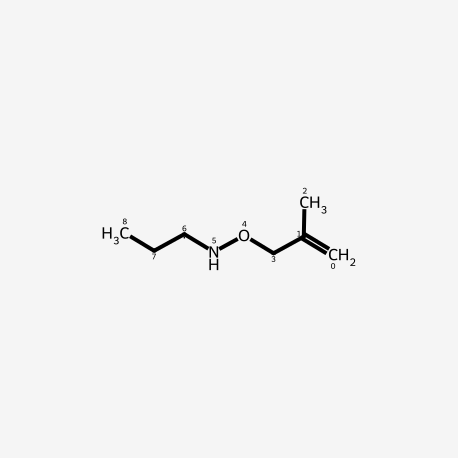 C=C(C)CON[CH]CC